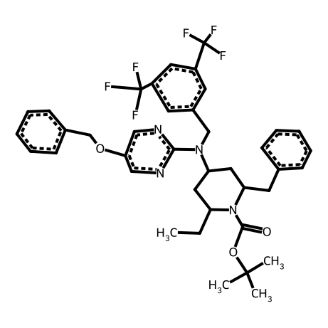 CCC1CC(N(Cc2cc(C(F)(F)F)cc(C(F)(F)F)c2)c2ncc(OCc3ccccc3)cn2)CC(Cc2ccccc2)N1C(=O)OC(C)(C)C